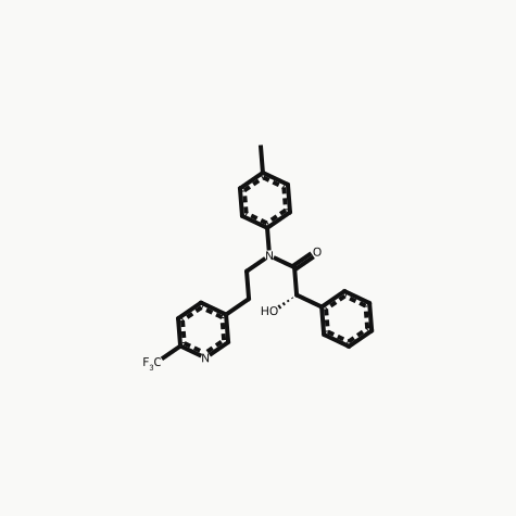 Cc1ccc(N(CCc2ccc(C(F)(F)F)nc2)C(=O)[C@@H](O)c2ccccc2)cc1